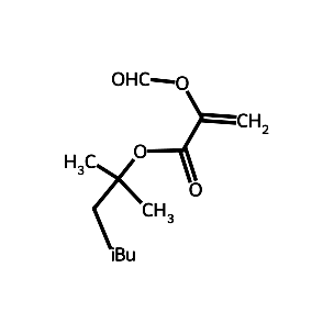 C=C(OC=O)C(=O)OC(C)(C)CC(C)CC